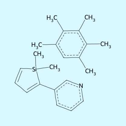 C[Si]1(C)C=CC=C1c1cccnc1.Cc1cc(C)c(C)c(C)c1C